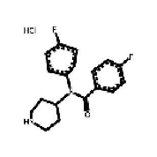 Cl.O=C(c1ccc(F)cc1)N(c1ccc(F)cc1)C1CCNCC1